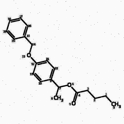 CCCCC(=O)OC(C)c1ccc(OCc2ccccc2)cc1